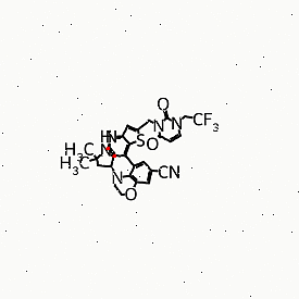 CC1(C)C[C@H](N2CCOc3cc(C#N)cc(-c4ccnc5cc(Cn6c(=O)ccn(CC(F)(F)F)c6=O)sc45)c32)CN1